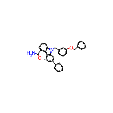 NC(=O)c1cccc2c1c1[c]cc(-c3ccccc3)cc1n2Cc1cccc(OCc2ccccc2)c1